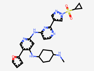 CNC1CCC(Nc2cc(Nc3ccnc(-c4cnn(S(=O)(=O)C5CC5)c4)n3)ncc2-c2ccco2)CC1